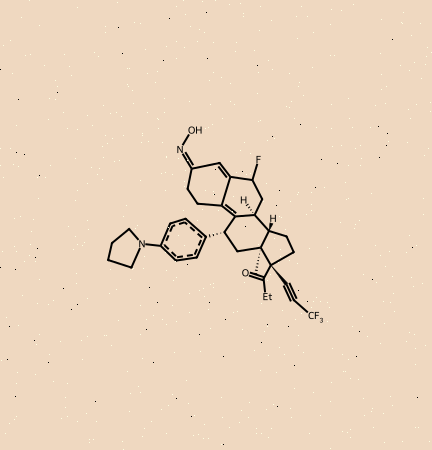 CCC(=O)[C@@]1(C#CC(F)(F)F)CC[C@H]2[C@@H]3CC(F)C4=CC(=NO)CCC4=C3[C@@H](c3ccc(N4CCCC4)cc3)C[C@@]21C